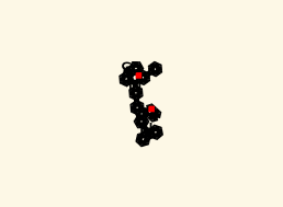 c1ccc(-c2ccc(N(c3ccc(-c4ccc5c(c4)C4(c6cc(-n7c8ccccc8c8ccccc87)ccc6-5)C5CC6CC(C5)CC4C6)cc3)c3cccc4sc5ccccc5c34)cc2)cc1